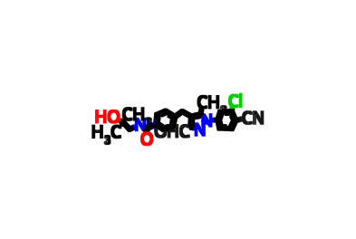 Cc1c(Cc2ccc(C(=O)NCC(C)(C)O)cc2)c(C=O)nn1-c1ccc(C#N)c(Cl)c1